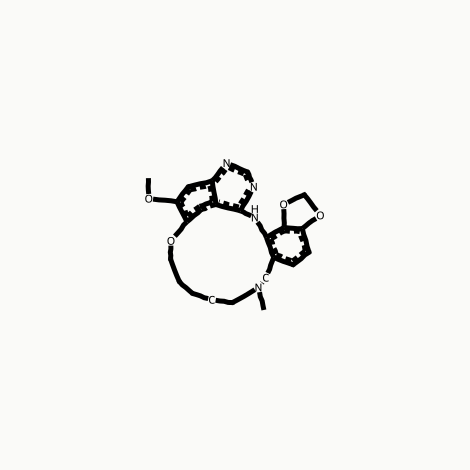 COc1cc2ncnc3c2cc1OCCCCCN(C)Cc1ccc2c(c1N3)OCO2